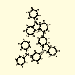 c1ccc(N(c2ccccc2)c2cccc(-n3c4ccccc4c4cc(-c5cccc6c5c5ccccc5n6-c5ccccc5)ccc43)c2)cc1